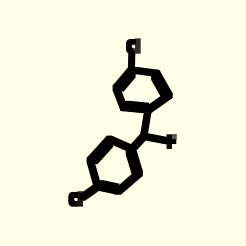 FC(c1ccc(Cl)cc1)c1ccc(Cl)cc1